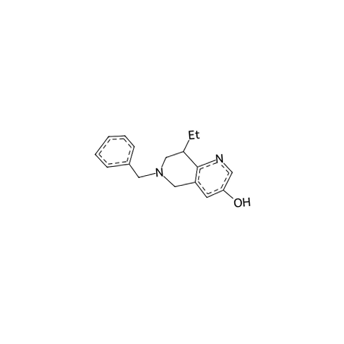 CCC1CN(Cc2ccccc2)Cc2cc(O)cnc21